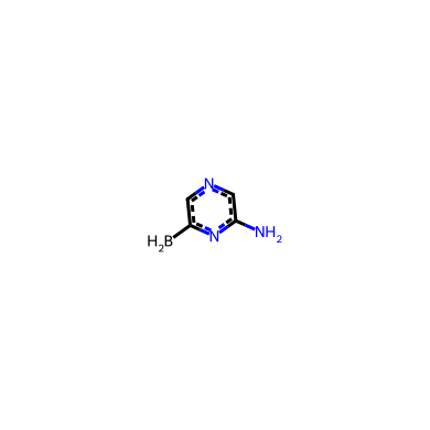 Bc1cncc(N)n1